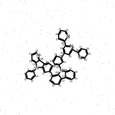 c1ccc(-n2c3cc(-c4cccc5c6ccccc6n(-c6cccc(-c7cc(-c8ccccn8)nc(-c8ccccn8)c7)c6)c45)ccc3c3ncccc32)cc1